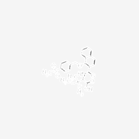 CCC(C)(C)C(NC(=O)c1ccc2ccccc2c1OCc1ccc(S(C)(=O)=O)cc1)C(=O)O